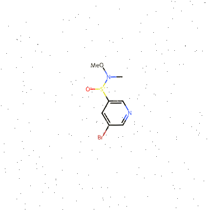 CON(C)[S+]([O-])c1cncc(Br)c1